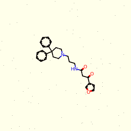 O=C(CC(=O)c1ccoc1)NCCCN1CCC(c2ccccc2)(c2ccccc2)CC1